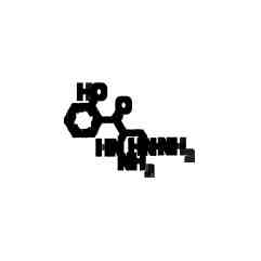 NNCC(NN)C(=O)c1ccccc1O